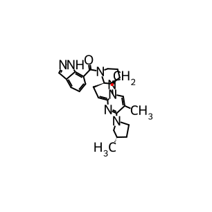 C=NN1C=C(C)C(N2CC[C@H](C)C2)=N/C1=C/C[C@@H]1CCCCN1C(=O)c1cccc2cn[nH]c12